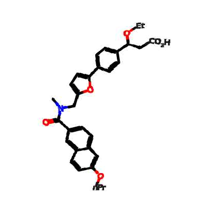 CCCOc1ccc2cc(C(=O)N(C)Cc3ccc(-c4ccc([C@H](CC(=O)O)OCC)cc4)o3)ccc2c1